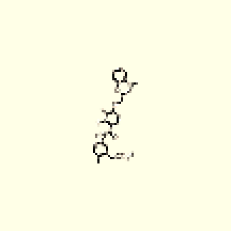 Cc1ccc(NC(=O)c2ccc(OC[C@@H]3CN(C)c4ccccc4O3)c(C)c2F)cc1CC(=O)O